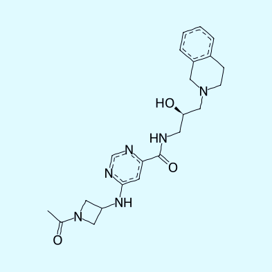 CC(=O)N1CC(Nc2cc(C(=O)NC[C@@H](O)CN3CCc4ccccc4C3)ncn2)C1